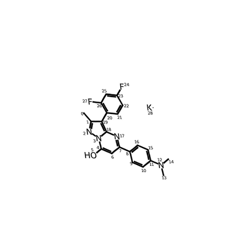 Cc1nn2c(O)cc(-c3ccc(N(C)C)cc3)nc2c1-c1ccc(F)cc1F.[K]